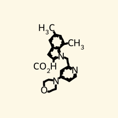 Cc1cc(C)c2c(c1)cc(C(=O)O)n2Cc1cc(N2CCOCC2)ccn1